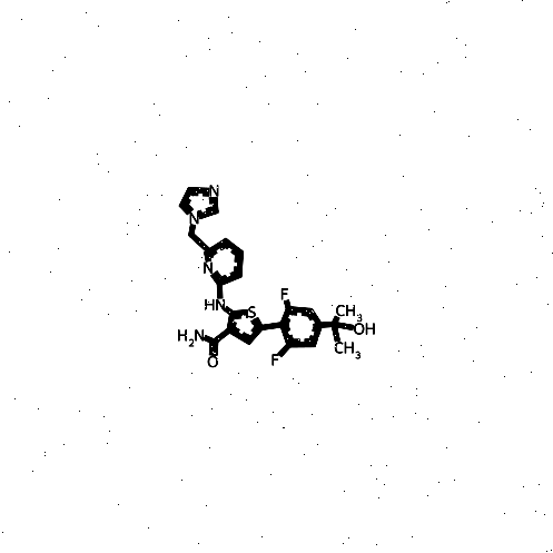 CC(C)(O)c1cc(F)c(-c2cc(C(N)=O)c(Nc3cccc(Cn4ccnc4)n3)s2)c(F)c1